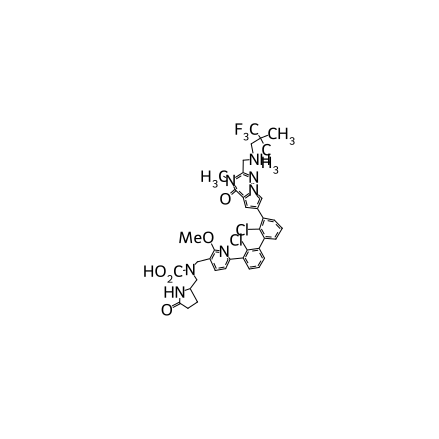 COc1nc(-c2cccc(-c3cccc(-c4cc5c(=O)n(C)c(CNCC(C)(C)C(F)(F)F)nn5c4)c3Cl)c2Cl)ccc1CN(CC1CCC(=O)N1)C(=O)O